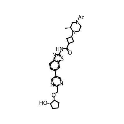 CC(=O)N1CCN(C2CC(C(=O)Nc3nc4ccc(-c5cnc(CO[C@H]6CCC[C@@H]6O)nc5)cc4s3)C2)[C@@H](C)C1